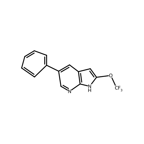 FC(F)(F)Oc1cc2cc(-c3ccccc3)cnc2[nH]1